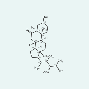 CC(=O)O[C@H]1CC[C@@]2(C)[C@H](C1)C(=O)C[C@@H]1[C@@H]2CC[C@]2(C)[C@@H]([C@H](C)[C@@H](OC(C)=O)[C@H](OC(C)=O)[C@@H](C)C(C)C)CC[C@@H]12